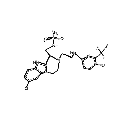 NS(=O)(=O)NCC1c2[nH]c3ccc(Cl)cc3c2CCN1CCNc1ccc(Cl)c(C(F)(F)F)n1